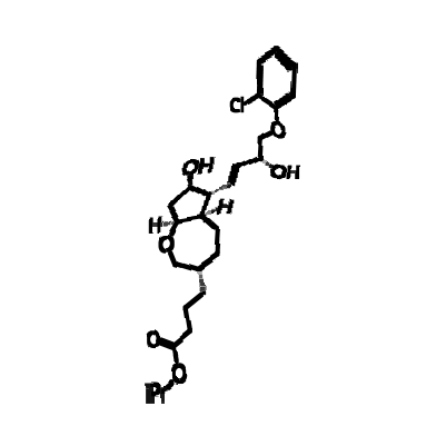 CC(C)OC(=O)CCC[C@H]1CC[C@@H]2[C@@H](/C=C/[C@@H](O)COc3ccccc3Cl)[C@H](O)C[C@@H]2OC1